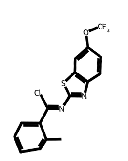 Cc1ccccc1C(Cl)=Nc1nc2ccc(OC(F)(F)F)cc2s1